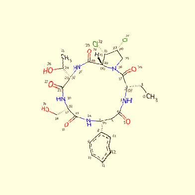 CC[C@@H]1NC(=O)C[C@H](c2ccccc2)NC(=O)[C@H](CO)NC(=O)[C@H](C(C)O)NC(=O)[C@@H]2[C@H](Cl)[C@H](Cl)CN2C1=O